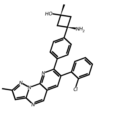 Cc1cc2ncc3cc(-c4ccccc4Cl)c(-c4ccc([C@]5(N)C[C@](C)(O)C5)cc4)nc3n2n1